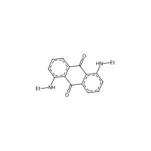 CCNc1cccc2c1C(=O)c1cccc(NCC)c1C2=O